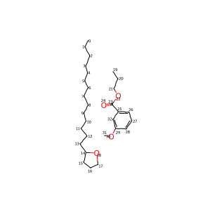 CCCCCCCCCCCCCCC1CCCO1.CCCOC(=O)c1cccc(OC)c1